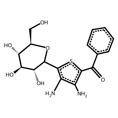 Nc1c(C(=O)c2ccccc2)sc(C2O[C@H](CO)[C@@H](O)[C@H](O)[C@H]2O)c1N